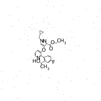 CCOC(=O)c1nn(CC2CC2)cc1Oc1cccnc1-c1ccc(F)cc1[C@@H](C)O